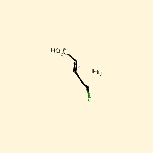 O=C(O)/C=C/CCl.[Hg]